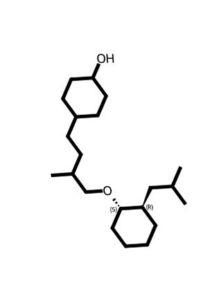 CC(C)C[C@H]1CCCC[C@@H]1OCC(C)CCC1CCC(O)CC1